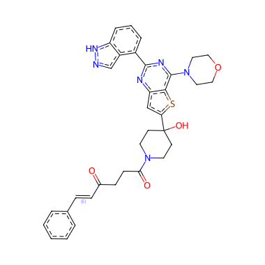 O=C(/C=C/c1ccccc1)CCC(=O)N1CCC(O)(c2cc3nc(-c4cccc5[nH]ncc45)nc(N4CCOCC4)c3s2)CC1